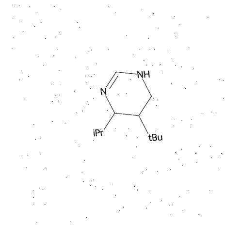 CC(C)C1N=CNCC1C(C)(C)C